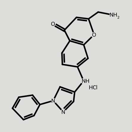 Cl.NCc1cc(=O)c2ccc(Nc3cnn(-c4ccccc4)c3)cc2o1